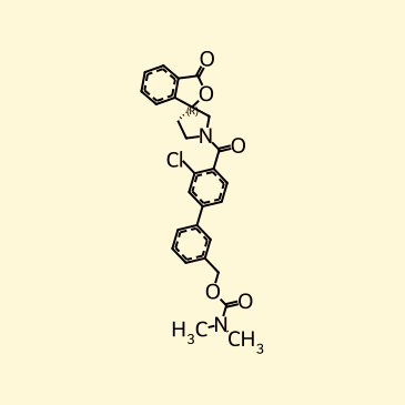 CN(C)C(=O)OCc1cccc(-c2ccc(C(=O)N3CC[C@@]4(C3)OC(=O)c3ccccc34)c(Cl)c2)c1